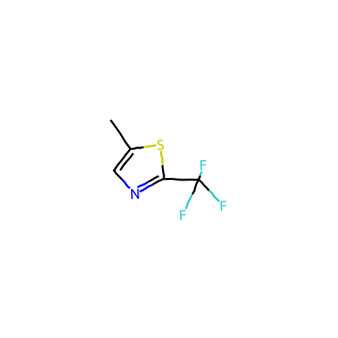 Cc1cnc(C(F)(F)F)s1